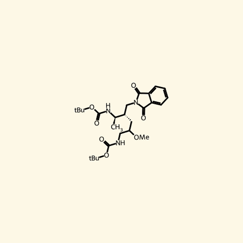 COC(CNC(=O)OC(C)(C)C)C[C@@H](CN1C(=O)c2ccccc2C1=O)[C@@H](C)NC(=O)OC(C)(C)C